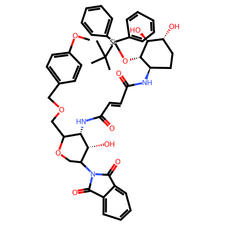 COc1ccc(COCC2OCC(N3C(=O)c4ccccc4C3=O)[C@@H](O)[C@H]2NC(=O)/C=C/C(=O)N[C@@H]2CC[C@@H](O)[C@H](O)[C@H]2O[Si](c2ccccc2)(c2ccccc2)C(C)(C)C)cc1